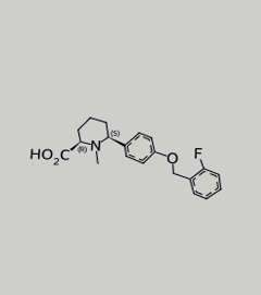 CN1[C@@H](C(=O)O)CCC[C@H]1c1ccc(OCc2ccccc2F)cc1